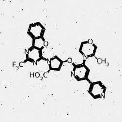 C[C@H]1COCCN1c1cc(-c2ccncc2)cnc1O[C@H]1C[C@@H](C(=O)O)N(c2nc(C(F)(F)F)nc3c2oc2ccccc23)C1